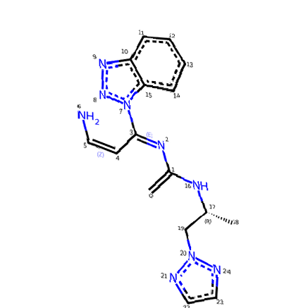 C=C(/N=C(\C=C/N)n1nnc2ccccc21)N[C@H](C)Cn1nccn1